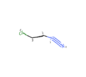 N#[N+]CCCl